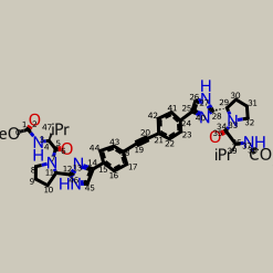 COC(=O)N[C@H](C(=O)N1CCCC1c1nc(-c2ccc(C#Cc3ccc(-c4c[nH]c([C@@H]5CCCN5C(=O)[C@@H](NC(=O)O)C(C)C)n4)cc3)cc2)c[nH]1)C(C)C